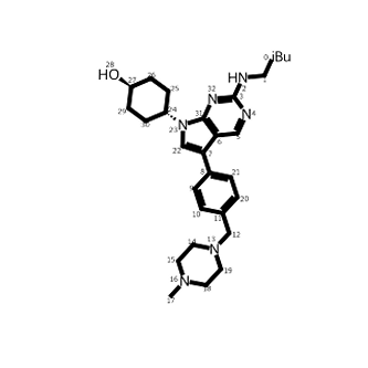 CCC(C)CNc1ncc2c(-c3ccc(CN4CCN(C)CC4)cc3)cn([C@H]3CC[C@H](O)CC3)c2n1